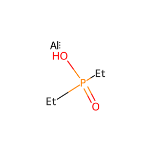 CCP(=O)(O)CC.[Al]